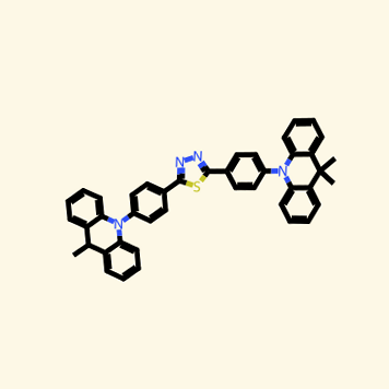 CC1c2ccccc2N(c2ccc(-c3nnc(-c4ccc(N5c6ccccc6C(C)(C)c6ccccc65)cc4)s3)cc2)c2ccccc21